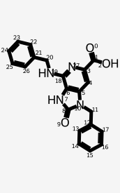 O=C(O)c1cc2c([nH]c(=O)n2Cc2ccccc2)c(NCc2ccccc2)n1